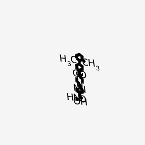 Cc1cccc(C)c1-c1ccc(S(=O)(=O)N2CCN(c3ncc(C(=O)NO)cn3)CC2)cc1